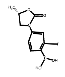 C[C@H]1CN(c2ccc(B(O)O)c(F)c2)C(=O)O1